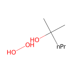 CCCC(C)(C)O.OO